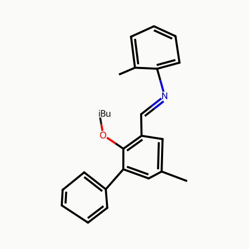 CCC(C)Oc1c(/C=N/c2ccccc2C)cc(C)cc1-c1ccccc1